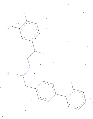 CCOC(=O)c1ccccc1-c1ccc(CC(C)NCC(O)c2cc(F)c(N)c(C#N)c2)cc1